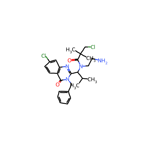 CC(C)C(c1nc2cc(Cl)ccc2c(=O)n1Cc1ccccc1)N(CCN)C(=O)C(C)(C)CCl